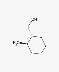 OC[C@@H]1CCCC[C@H]1C(F)(F)F